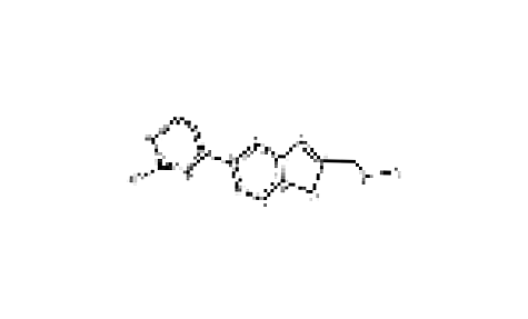 CCCC1=Cc2cc(-c3cccc(F)c3)ccc2C1